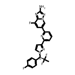 CC(F)(F)[C@@H](c1ccc(F)cc1)n1ccc(-c2cccc(-c3cc(F)c4nc(N)nn4c3)n2)n1